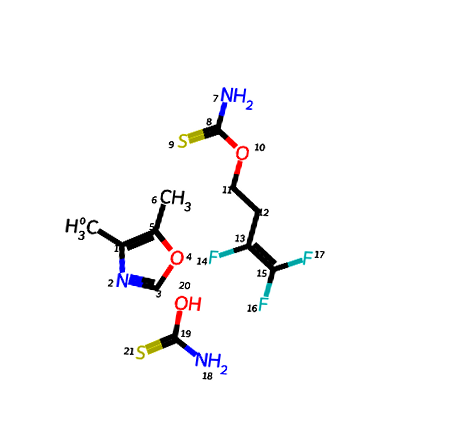 Cc1ncoc1C.NC(=S)OCCC(F)=C(F)F.NC(O)=S